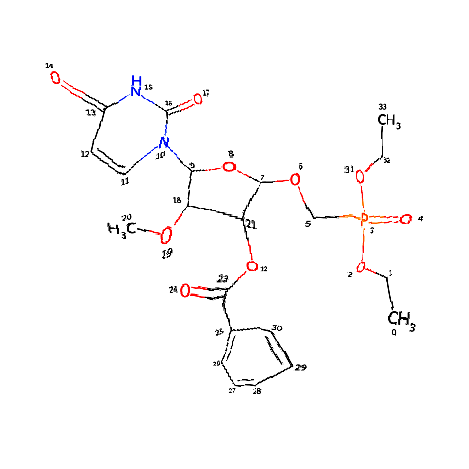 CCOP(=O)(COC1OC(n2ccc(=O)[nH]c2=O)C(OC)C1OC(=O)c1ccccc1)OCC